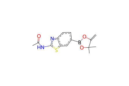 C=C1OB(c2ccc3nc(NC(C)=O)sc3c2)OC1(C)C